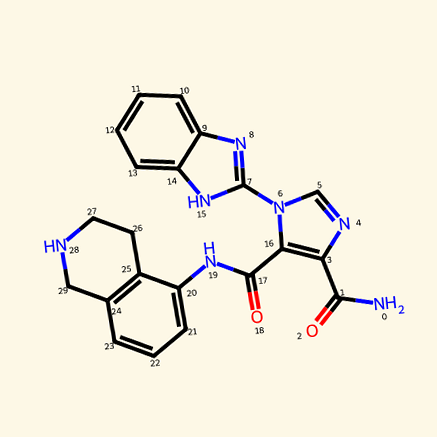 NC(=O)c1ncn(-c2nc3ccccc3[nH]2)c1C(=O)Nc1cccc2c1CCNC2